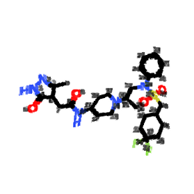 CC1=NNC(=O)C1CC(=O)NC1CCN([C@H](C)CN(c2ccccc2)S(=O)(=O)CC2CCC(F)(F)CC2)CC1